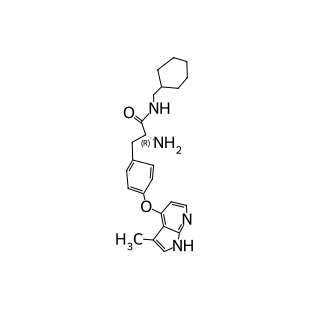 Cc1c[nH]c2nccc(Oc3ccc(C[C@@H](N)C(=O)NCC4CCCCC4)cc3)c12